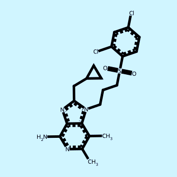 Cc1nc(N)c2nc(CC3CC3)n(CCCS(=O)(=O)c3ccc(Cl)cc3Cl)c2c1C